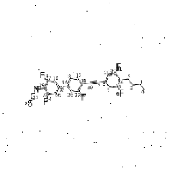 CCCCc1c(F)cc(C#Cc2ccc(-c3cc(F)c(N=C=S)c(F)c3)cc2F)cc1F